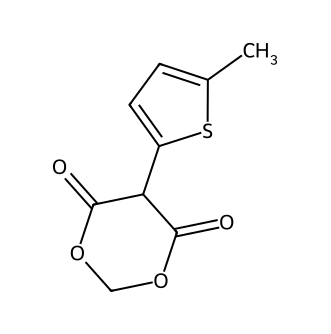 Cc1ccc(C2C(=O)OCOC2=O)s1